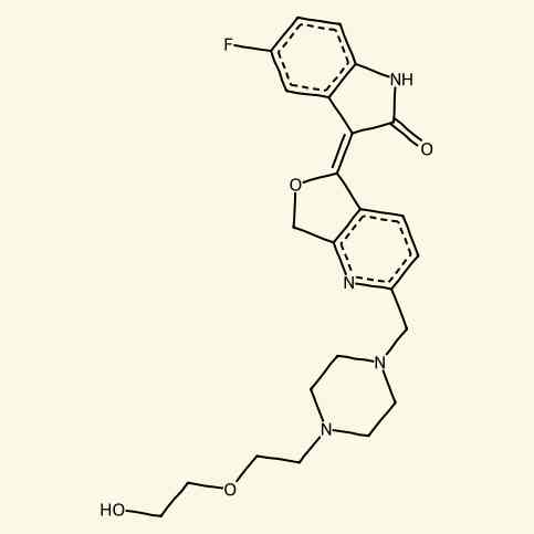 O=C1Nc2ccc(F)cc2C1=C1OCc2nc(CN3CCN(CCOCCO)CC3)ccc21